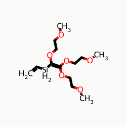 C=C[SiH2]C(OCCOC)=C(OCCOC)OCCOC